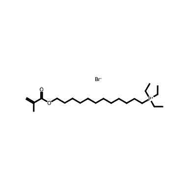 C=C(C)C(=O)OCCCCCCCCCCCC[P+](CC)(CC)CC.[Br-]